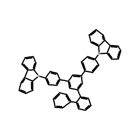 c1ccc(-c2ccccc2-c2cc(-c3ccc(-n4c5ccccc5c5ccccc54)cc3)cc(-c3ccc(-n4c5ccccc5c5ccccc54)cc3)c2)cc1